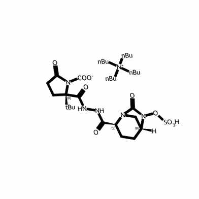 CC(C)(C)[C@@]1(C(=O)NNC(=O)[C@@H]2CC[C@@H]3CN2C(=O)N3OS(=O)(=O)O)CCC(=O)N1C(=O)[O-].CCCC[N+](CCCC)(CCCC)CCCC